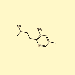 Cc1cnc(CCC(C)C#N)c([N+](=O)[O-])c1